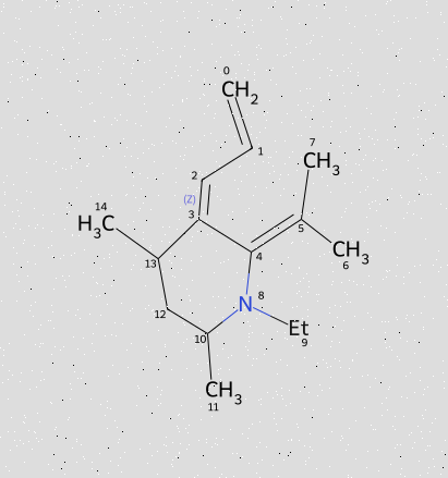 C=C/C=C1\C(=C(C)C)N(CC)C(C)CC1C